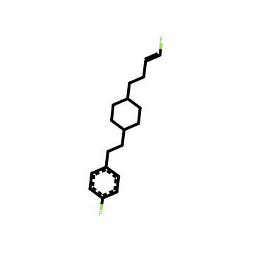 FC=CCCC1CCC(CCc2ccc(F)cc2)CC1